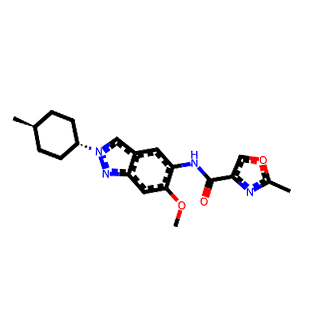 COc1cc2nn([C@H]3CC[C@H](C)CC3)cc2cc1NC(=O)c1coc(C)n1